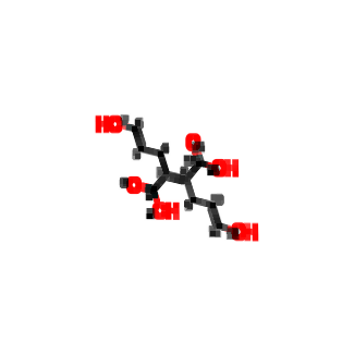 O=C(O)C(CC=CO)=C(CC=CO)C(=O)O